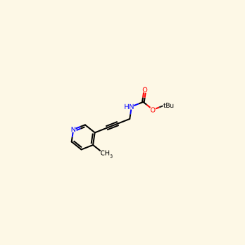 Cc1ccncc1C#CCNC(=O)OC(C)(C)C